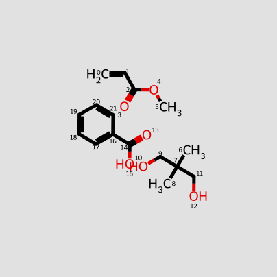 C=CC(=O)OC.CC(C)(CO)CO.O=C(O)c1ccccc1